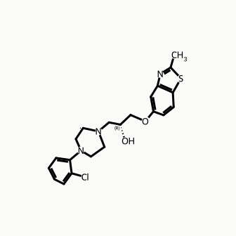 Cc1nc2cc(OC[C@H](O)CN3[CH]CN(c4ccccc4Cl)CC3)ccc2s1